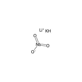 [KH].[Li+].[O]=[Nb](=[O])[O-]